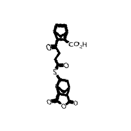 O=C(CCC(=O)C1C2C=CC(C2)C1C(=O)O)SC1CC2CC1C1C(=O)OC(=O)C21